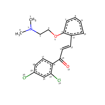 CN(C)CCOc1ccccc1C=CC(=O)c1ccc(Cl)cc1Cl